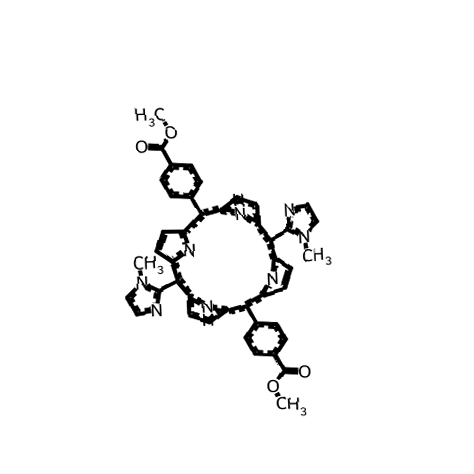 COC(=O)c1ccc(-c2c3nc(c(-c4nccn4C)c4ccc([nH]4)c(-c4ccc(C(=O)OC)cc4)c4nc(c(-c5nccn5C)c5ccc2[nH]5)C=C4)C=C3)cc1